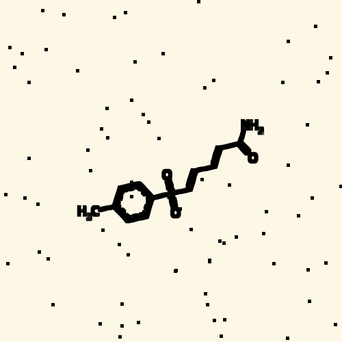 Cc1ccc(S(=O)(=O)/C=C/C=C/C(N)=O)cc1